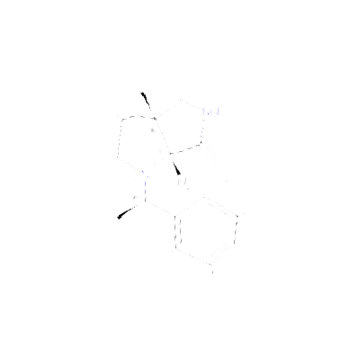 C[C@H](c1ccccc1)N1CC[C@@H]2CNC(=O)[C@@H]21